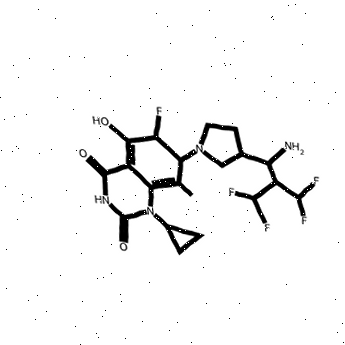 CC1=c2c(c(=O)[nH]c(=O)n2C2CC2)=C(O)C(F)C1N1CCC(C(N)C(C(F)F)C(F)F)C1